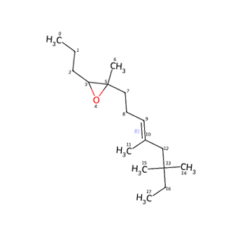 CCCC1OC1(C)CC/C=C(\C)CC(C)(C)CC